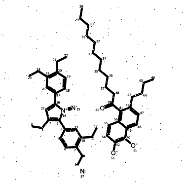 CCC1=C(c2ccc(CC)c(CC)c2)[N+](=[N-])C(c2ccc(CC)c(CC)c2)=C1.CCCCCCCCCCCC(=O)c1c(CCCC)ccc2c([O-])c([O-])ccc12.[Ni]